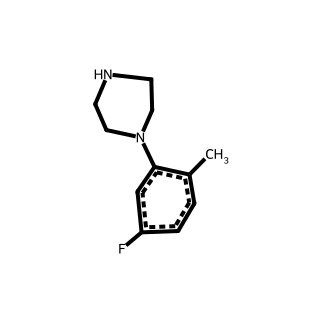 Cc1ccc(F)cc1N1CCNCC1